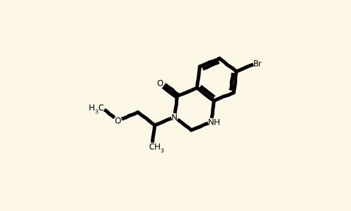 COCC(C)N1CNc2cc(Br)ccc2C1=O